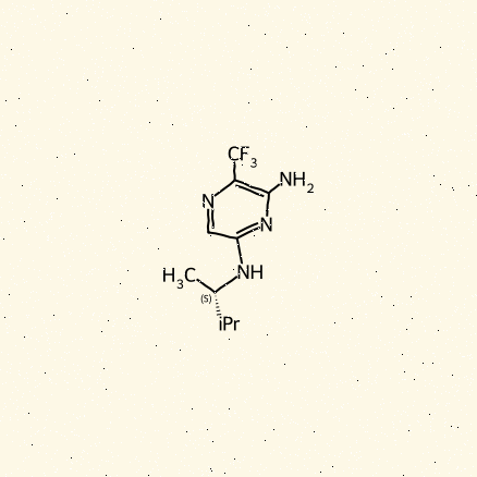 CC(C)[C@H](C)Nc1cnc(C(F)(F)F)c(N)n1